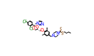 CCCCSC(=S)N1CCN(Cc2cc(C)c(OC[C@@H]3CO[C@@](Cn4ccnc4)(c4ccc(Cl)cc4Cl)O3)c(C)c2)CC1